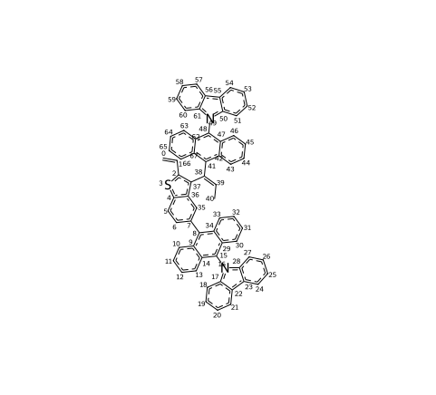 C=Cc1sc2ccc(-c3c4ccccc4c(-n4c5ccccc5c5ccccc54)c4ccccc34)cc2c1/C(=C\C)c1c2ccccc2c(-n2c3ccccc3c3ccccc32)c2ccccc12